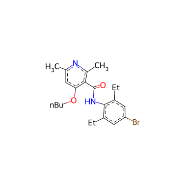 CCCCOc1cc(C)nc(C)c1C(=O)Nc1c(CC)cc(Br)cc1CC